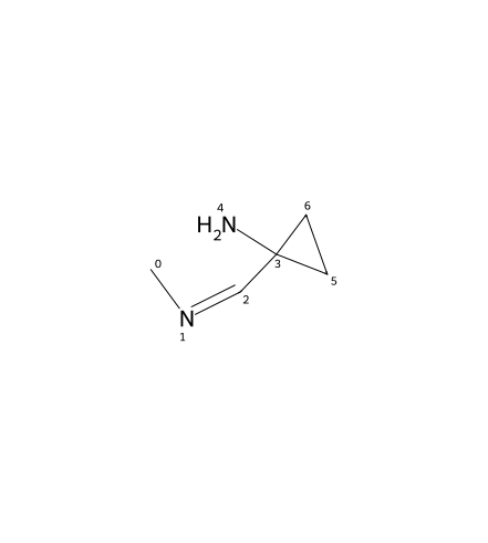 C/N=C\C1(N)CC1